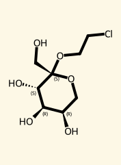 OC[C@@]1(OCCCl)OC[C@@H](O)[C@@H](O)[C@@H]1O